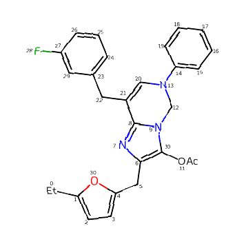 CCc1ccc(Cc2nc3n(c2OC(C)=O)CN(c2ccccc2)C=C3Cc2cccc(F)c2)o1